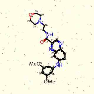 COc1cc(Nc2ccc3ncc(C(=O)NCCN4CCOCC4)nc3c2)cc(OC)c1